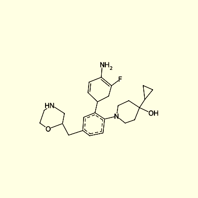 NC1=C(F)CC(c2cc(CC3CNCCO3)ccc2N2CCC(O)(C3CC3)CC2)C=C1